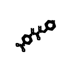 O=C(NCc1ccncc1)Nc1ccc([N+](=O)[O-])cc1